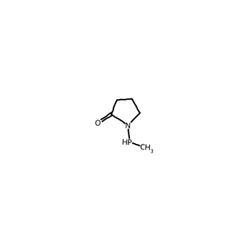 CPN1CCCC1=O